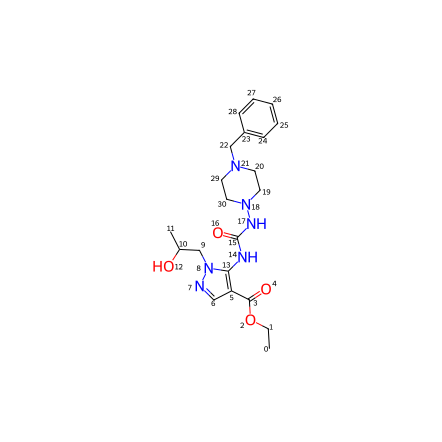 CCOC(=O)c1cnn(CC(C)O)c1NC(=O)NN1CCN(Cc2ccccc2)CC1